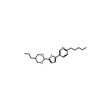 CCCCCc1ccc(-c2ccc(C3OCC(CCC)CO3)s2)cn1